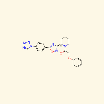 O=C(COc1ccccc1)N1CCCC[C@@H]1c1noc(-c2ccc(-n3cnnn3)cc2)n1